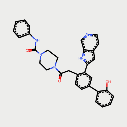 O=C(Cc1ccc(-c2ccccc2O)cc1-c1cc2ccncc2[nH]1)N1CCN(C(=O)Nc2ccccc2)CC1